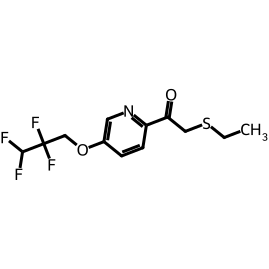 CCSCC(=O)c1ccc(OCC(F)(F)C(F)F)cn1